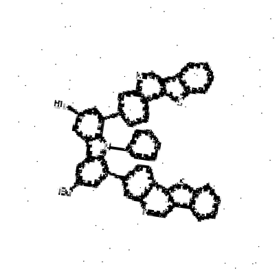 CC(C)(C)c1cc(-c2ccc3c(c2)ncc2c4ccccc4sc32)c2c(c1)c1cc(C(C)(C)C)cc(-c3ccc4c(c3)ncc3c5ccccc5sc43)c1n2-c1ccccc1